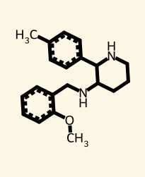 COc1ccccc1CNC1CCCNC1c1ccc(C)cc1